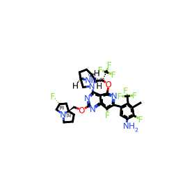 Cc1c(F)c(N)cc(-c2nc3c4c(nc(OC[C@@]56CCCN5C[C@H](F)C6)nc4c2F)N2C[C@H]4CC[C@H](N4)[C@H]2[C@H](C(F)(F)F)O3)c1C(F)(F)F